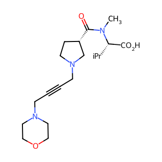 CC(C)[C@@H](C(=O)O)N(C)C(=O)[C@H]1CCN(CC#CCN2CCOCC2)C1